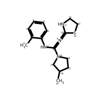 Cc1ccccc1NC(=[N+]=C1NCCS1)N1CCC(C)C1